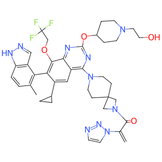 C=C(C(=O)N1CC2(CCN(c3nc(OC4CCN(CCO)CC4)nc4c(OCC(F)(F)F)c(-c5c(C)ccc6[nH]ncc56)c(C5CC5)cc34)CC2)C1)n1ccnn1